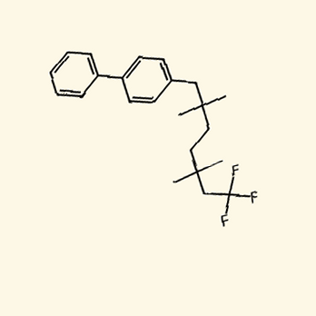 CC(C)(CCC(C)(C)CC(F)(F)F)Cc1ccc(-c2ccccc2)cc1